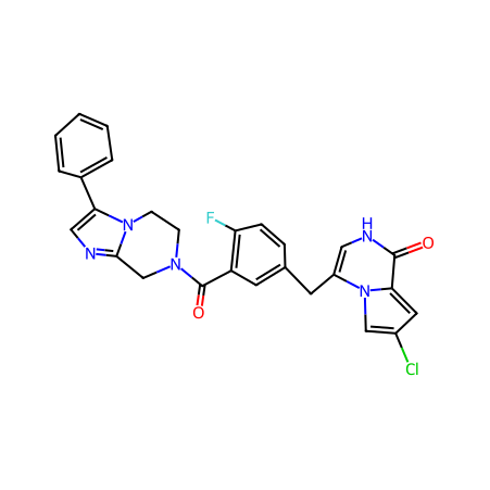 O=C(c1cc(Cc2c[nH]c(=O)c3cc(Cl)cn23)ccc1F)N1CCn2c(-c3ccccc3)cnc2C1